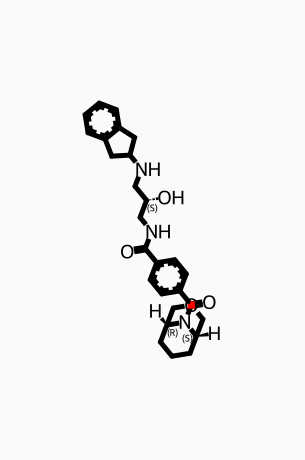 O=C(NC[C@@H](O)CNC1Cc2ccccc2C1)c1ccc(C(=O)N2[C@@H]3CCC[C@H]2COC3)cc1